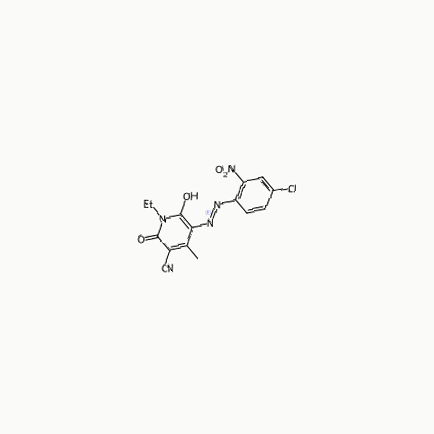 CCn1c(O)c(/N=N/c2ccc(Cl)cc2[N+](=O)[O-])c(C)c(C#N)c1=O